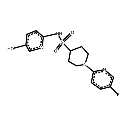 O=S(=O)(Nc1ccc(O)cn1)C1CCN(c2ccc(F)cn2)CC1